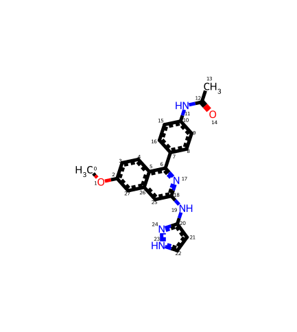 COc1ccc2c(-c3ccc(NC(C)=O)cc3)nc(Nc3cc[nH]n3)cc2c1